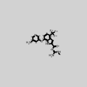 CNC(N)=NC(=O)c1cc2c(C(F)(F)F)ccc(Oc3cncc(N)c3)c2[nH]1